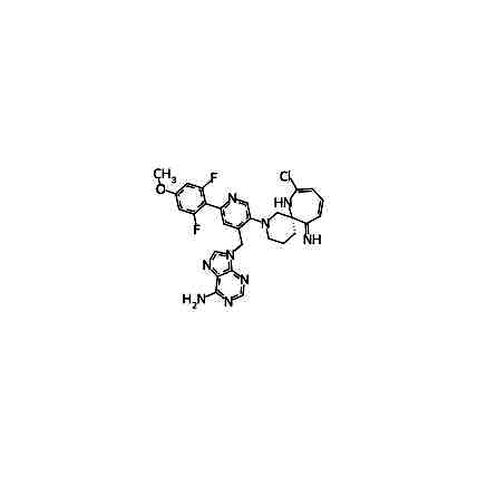 COc1cc(F)c(-c2cc(Cn3cnc4c(N)ncnc43)c(N3CCC[C@]4(C3)NC(Cl)=CC=CC4=N)cn2)c(F)c1